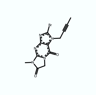 CC#CCn1c(Br)nc2nc3n(c(=O)c21)CC(=O)N3C